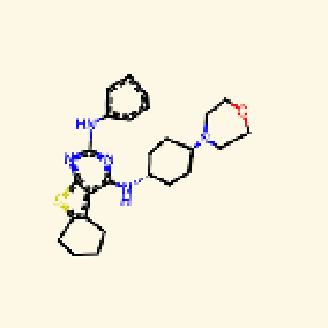 c1ccc(Nc2nc(N[C@H]3CC[C@H](N4CCOCC4)CC3)c3c4c(sc3n2)CCCC4)cc1